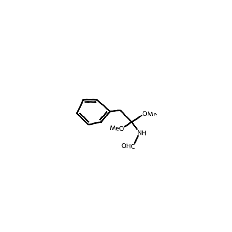 COC(Cc1ccccc1)(NC=O)OC